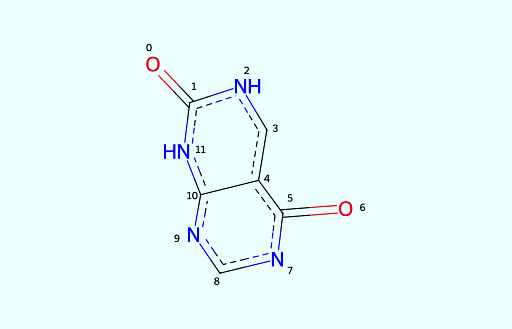 O=c1[nH]cc2c(=O)ncnc-2[nH]1